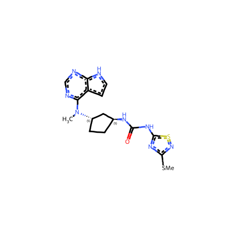 CSc1nsc(NC(=O)N[C@H]2CC[C@H](N(C)c3ncnc4[nH]ccc34)C2)n1